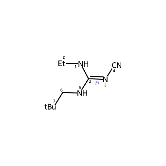 CCN/C(=N\C#N)NCC(C)(C)C